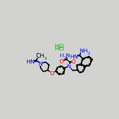 CC(=N)N1CCC(Oc2ccc(N(Cc3ccc4cccc(C(=N)N)c4c3)C(=O)C(N)=O)cc2)CC1.Cl.Cl